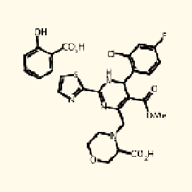 COC(=O)C1=C(CN2CCOCC2C(=O)O)N=C(c2nccs2)NC1c1ccc(F)cc1Cl.O=C(O)c1ccccc1O